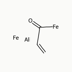 C=C[C](=O)[Fe].[Al].[Fe]